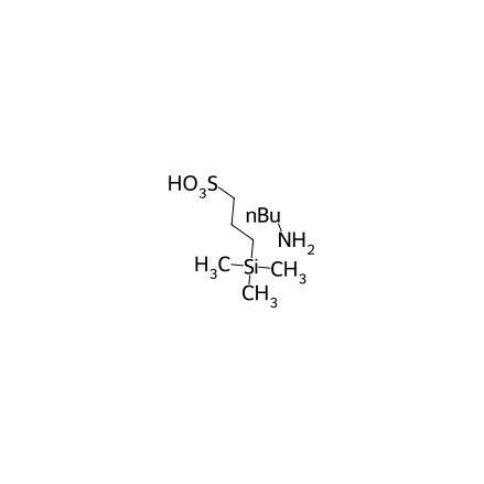 CCCCN.C[Si](C)(C)CCCS(=O)(=O)O